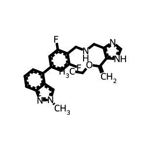 C=C(OCC)c1[nH]cnc1CNCc1c(F)cc(-c2cccc3nn(C)cc23)cc1F